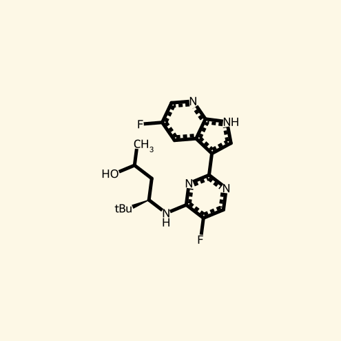 CC(O)C[C@@H](Nc1nc(-c2c[nH]c3ncc(F)cc23)ncc1F)C(C)(C)C